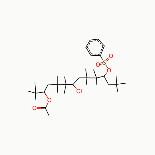 CC(=O)OC(CC(C)(C)C(C)(C)C(O)CC(C)(C)C(C)(C)C(CC(C)(C)C)OS(=O)(=O)c1ccccc1)C(C)(C)C